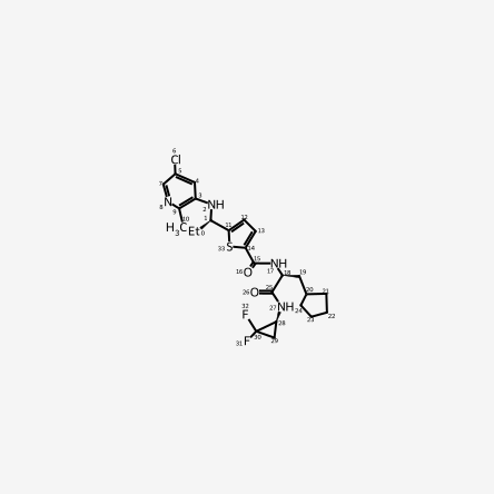 CC[C@@H](Nc1cc(Cl)cnc1C)c1ccc(C(=O)N[C@@H](CC2CCCC2)C(=O)N[C@H]2CC2(F)F)s1